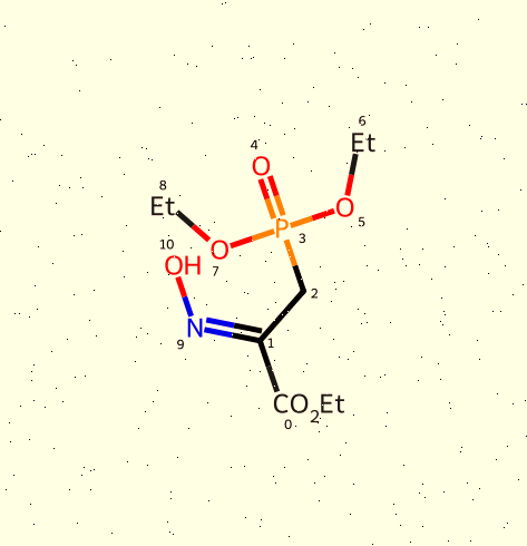 CCOC(=O)C(CP(=O)(OCC)OCC)=NO